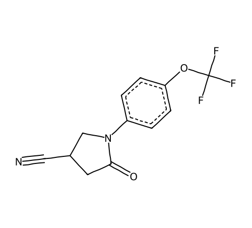 N#CC1CC(=O)N(c2ccc(OC(F)(F)F)cc2)C1